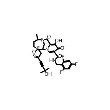 CC1CC[C@]2(CC(C#CC(C)(C)O)=NO2)C2CN1C(=O)c1c(O)c(=O)c(C(=O)NCc3c(F)cc(F)cc3F)cn12